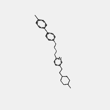 Cc1ccc(-c2ccc(CCCCc3ccc(CCC4CCC(C)CC4)cn3)cc2)cc1